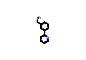 CC(C)(C)Cc1cccc(-c2ccccn2)c1